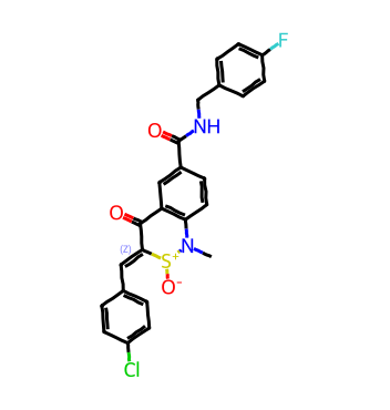 CN1c2ccc(C(=O)NCc3ccc(F)cc3)cc2C(=O)/C(=C/c2ccc(Cl)cc2)[S+]1[O-]